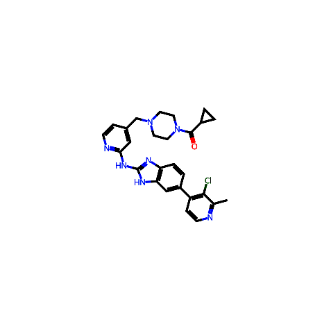 Cc1nccc(-c2ccc3nc(Nc4cc(CN5CCN(C(=O)C6CC6)CC5)ccn4)[nH]c3c2)c1Cl